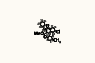 COC(=O)c1c(-c2cccc(C)c2)c2cc(Cl)ccc2c(=O)n1Cc1ccccc1